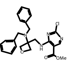 COC(=O)c1cnc(Cl)nc1NCC1(N(Cc2ccccc2)Cc2ccccc2)COC1